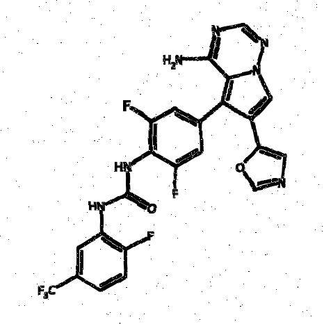 Nc1ncnn2cc(-c3cnco3)c(-c3cc(F)c(NC(=O)Nc4cc(C(F)(F)F)ccc4F)c(F)c3)c12